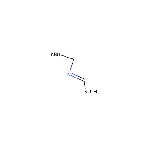 CCCCCN=CS(=O)(=O)O